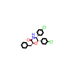 O=C1N[C@H](c2ccc(Cl)cc2)[C@H](c2ccc(Cl)cc2)O[C@H]1Cc1ccccc1